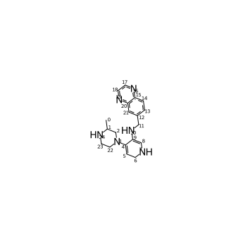 CC1CN(C2=CCNC=C2NCc2ccc3nccnc3c2)CCN1